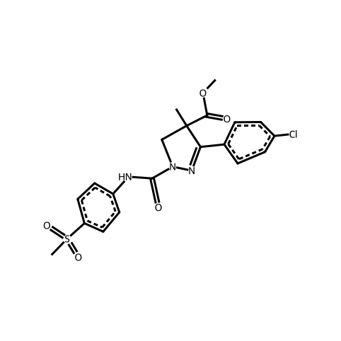 COC(=O)C1(C)CN(C(=O)Nc2ccc(S(C)(=O)=O)cc2)N=C1c1ccc(Cl)cc1